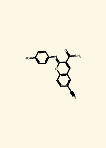 N#Cc1ccc2o/c(=N\c3ccc(O)cc3)c(C(N)=O)cc2c1